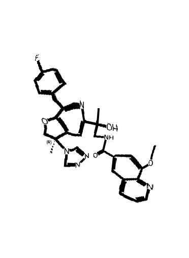 COc1cc(C(=O)NCC(C)(O)c2cc3c(c(-c4ccc(F)cc4)n2)OC[C@]3(C)n2cnnc2)cc2cccnc12